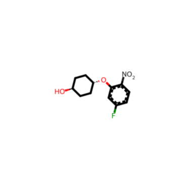 O=[N+]([O-])c1ccc(F)cc1O[C@H]1CC[C@H](O)CC1